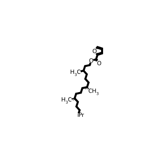 CC(C)CCC[C@@H](C)CCC[C@@H](C)CCCC(C)CCOC(=O)c1ccco1